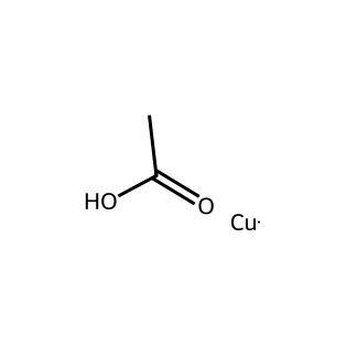 CC(=O)O.[Cu]